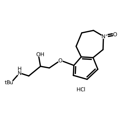 CC(C)(C)NCC(O)COc1cccc2c1CCC[N+](=O)C2.Cl